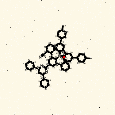 Cc1ccc(-c2ccc3c(c2)c2cc(-c4ccc(C)cc4)ccc2n3-c2c(-c3ccccc3C#N)cc(-c3nc(-c4ccccc4)cc(-c4ccccc4)n3)cc2-c2ccccc2C#N)cc1